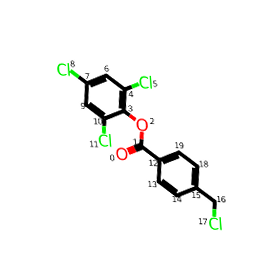 O=C(Oc1c(Cl)cc(Cl)cc1Cl)c1ccc(CCl)cc1